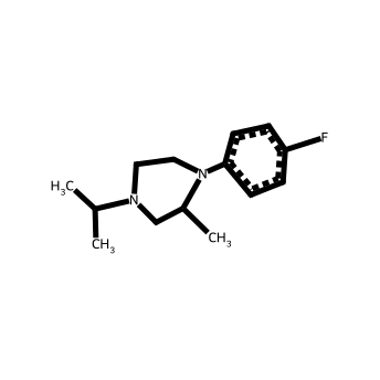 CC(C)N1CCN(c2ccc(F)cc2)C(C)C1